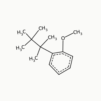 COc1ccccc1C(C)(C)C(C)(C)C